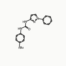 CCCCc1ccc(NC(=O)Nc2ccn(-c3ccccc3)n2)cc1